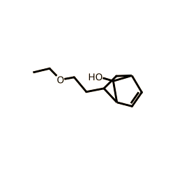 CCOCCC1CC2C=CC1C2O